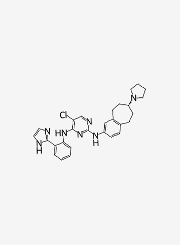 Clc1cnc(Nc2ccc3c(c2)CC[C@@H](N2CCCC2)CC3)nc1Nc1ccccc1-c1ncc[nH]1